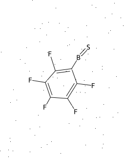 Fc1c(F)c(F)c(B=S)c(F)c1F